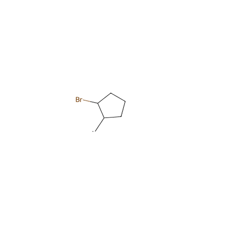 [CH2]C1CCCC1Br